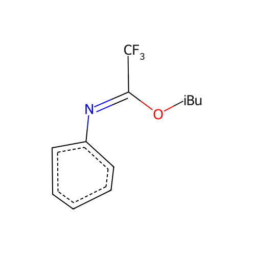 CCC(C)OC(=Nc1ccccc1)C(F)(F)F